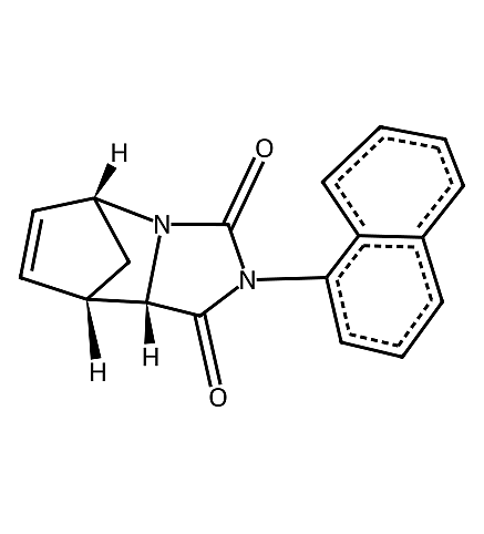 O=C1[C@@H]2[C@@H]3C=C[C@@H](C3)N2C(=O)N1c1cccc2ccccc12